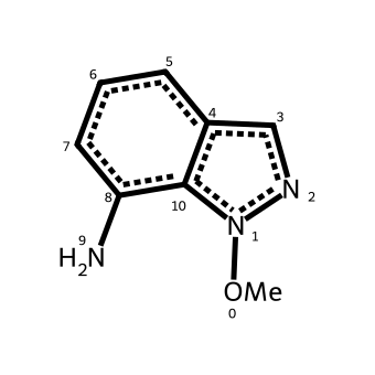 COn1ncc2cccc(N)c21